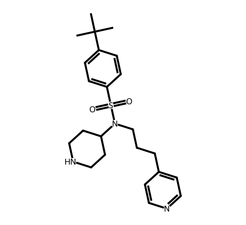 CC(C)(C)c1ccc(S(=O)(=O)N(CCCc2ccncc2)C2CCNCC2)cc1